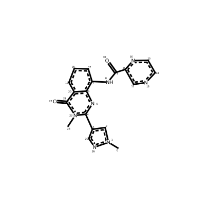 Cn1cc(-c2nc3c(NC(=O)c4cnccn4)cccc3c(=O)n2C)cn1